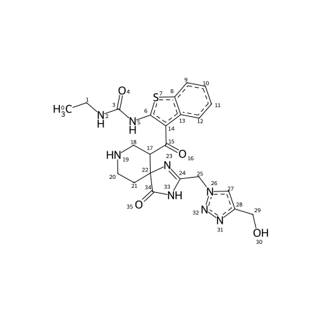 CCNC(=O)Nc1sc2ccccc2c1C(=O)C1CNCCC12N=C(Cn1cc(CO)nn1)NC2=O